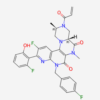 C=CC(=O)N1C[C@@H]2C(=O)N(C)c3c(c4cc(F)c(-c5c(O)cccc5F)nc4n(Cc4ccc(F)cc4)c3=O)N2C[C@H]1C